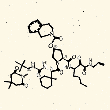 C=CCNC(=O)C(=O)C(CCCC)NC(=O)[C@@H]1C[C@@H](OC(=O)N2CCc3ccccc3C2)CN1C(=O)[C@@H](NC(=O)N[C@H](CN1C(=O)CC(C)(C)CC1=O)C(C)(C)C)C1(C)CCCCC1